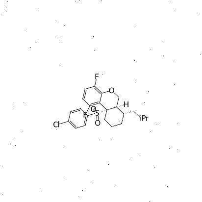 CC(C)C[C@@H]1CCC[C@@]2(S(=O)(=O)c3ccc(Cl)cc3)c3c(F)ccc(F)c3OC[C@@H]12